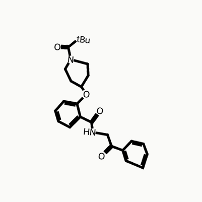 CC(C)(C)C(=O)N1CCC(Oc2ccccc2C(=O)NCC(=O)c2ccccc2)CC1